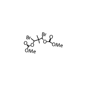 COC(=O)OC(Br)C(C)(C)C(Br)OC(=O)OC